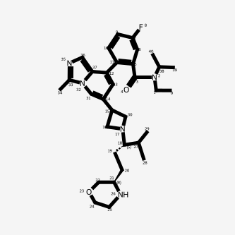 CCN(C(=O)c1cc(F)ccc1-c1cc(C2CN([C@@H](CC[C@@H]3COCCN3)C(C)C)C2)cn2c(C)ncc12)C(C)C